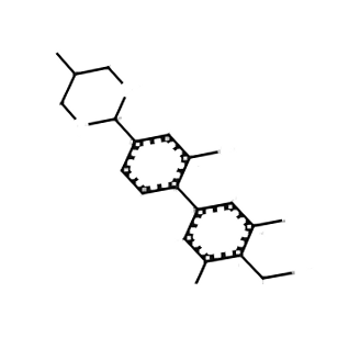 CC1COC(c2ccc(-c3cc(F)c(CF)c(F)c3)c(F)c2)OC1